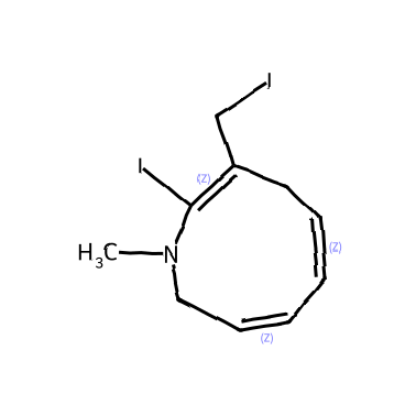 CN1C/C=C\C=C/C/C(CI)=C\1I